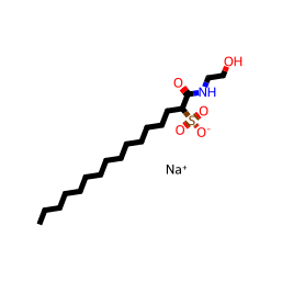 CCCCCCCCCCCCCCC(C(=O)NCCO)S(=O)(=O)[O-].[Na+]